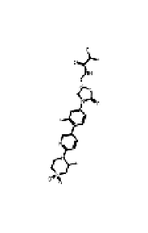 CC1CS(=O)(=O)CCN1c1ccc(-c2ccc(N3C[C@H](CNC(=O)C(F)F)OC3=O)cc2F)cn1